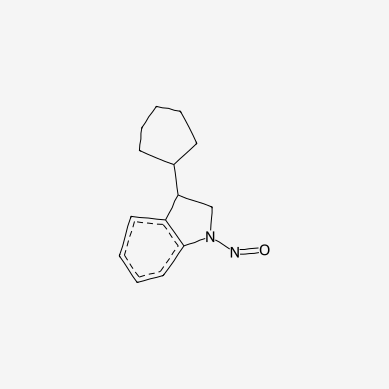 O=NN1CC(C2CCCCC2)c2ccccc21